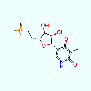 C=P(C)(C)CC[C@H]1O[C@@H](c2c[nH]c(=O)n(C)c2=O)[C@H](O)[C@@H]1O